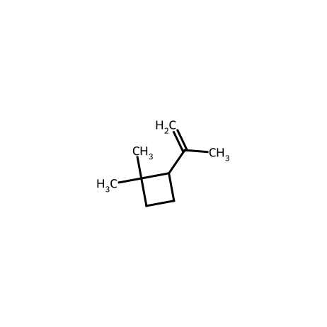 C=C(C)C1CCC1(C)C